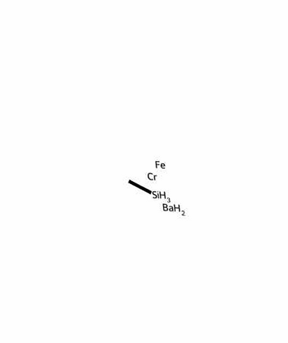 C[SiH3].[BaH2].[Cr].[Fe]